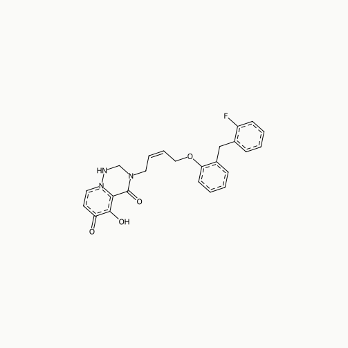 O=C1c2c(O)c(=O)ccn2NCN1C/C=C\COc1ccccc1Cc1ccccc1F